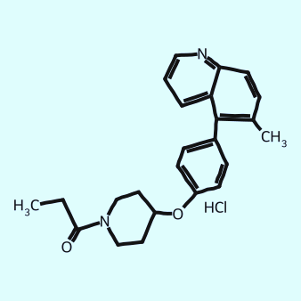 CCC(=O)N1CCC(Oc2ccc(-c3c(C)ccc4ncccc34)cc2)CC1.Cl